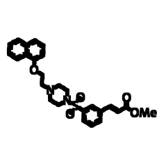 COC(=O)/C=C/c1cccc(S(=O)(=O)N2CCN(CCOc3cccc4ccccc34)CC2)c1